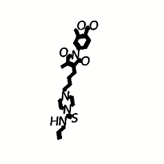 C=CCNC(=S)N1CCN(CCCCC2=C(C)C(=O)N(c3ccc4c(c3)COC4=O)C2=O)CC1